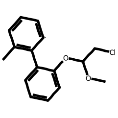 COC(CCl)Oc1ccccc1-c1[c]cccc1C